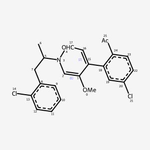 COC(=C/N(C)C(C)Cc1ccccc1Cl)/C(=C\C=O)c1cc(Cl)ccc1C(C)=O